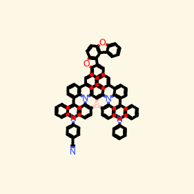 N#Cc1ccc(N(c2ccccc2)c2ccc3c(c2)N(c2c(-c4ccccc4)cccc2-c2ccccc2)c2cc(-c4ccc5c(c4)oc4ccc6oc7ccccc7c6c45)cc4c2B3c2ccc(N(c3ccccc3)c3ccccc3)cc2N4c2c(-c3ccccc3)cccc2-c2ccccc2)cc1